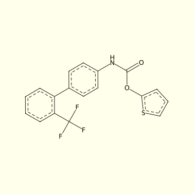 O=C(Nc1ccc(-c2ccccc2C(F)(F)F)cc1)Oc1cccs1